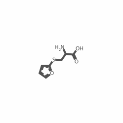 NC(CSc1ccco1)C(=O)O